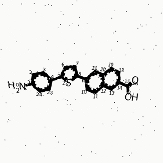 Nc1ccc(-c2ccc(-c3ccc4cc(C(=O)O)ccc4c3)s2)cc1